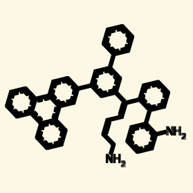 NC/C=C\C=C(c1cc(-c2ccccc2)cc(-c2ccc3c4ccccc4c4ccccc4c3c2)c1)c1ccccc1-c1ccccc1N